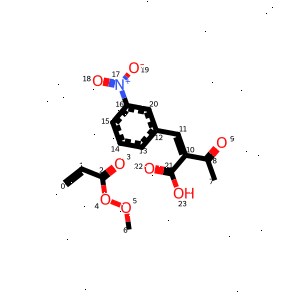 C=CC(=O)OOC.CC(=O)C(=Cc1cccc([N+](=O)[O-])c1)C(=O)O